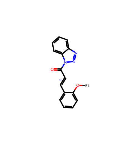 CCOc1ccccc1/C=C/C(=O)n1nnc2ccccc21